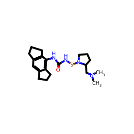 CN(C)CC1CCCN1SNC(=O)Nc1c2c(cc3c1CCC3)CCC2